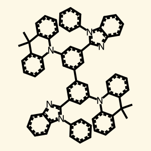 CC1(C)c2ccccc2N(c2cc(-c3cc(-c4nc5ccccc5n4-c4ccccc4)cc(N4c5ccccc5C(C)(C)c5ccccc54)c3)cc(-c3nc4ccccc4n3-c3ccccc3)c2)c2ccccc21